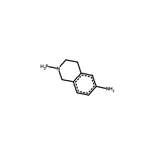 Nc1ccc2c(c1)CCN(P)C2